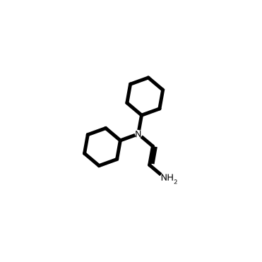 N/C=C/N(C1CCCCC1)C1CCCCC1